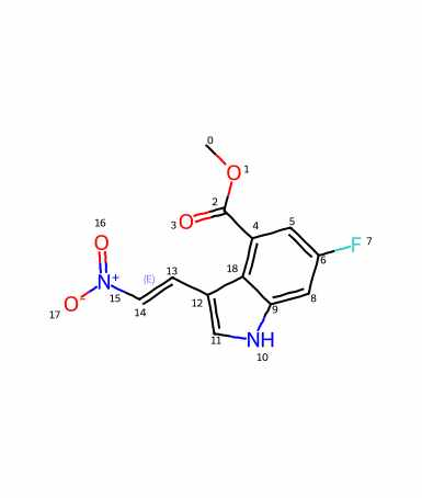 COC(=O)c1cc(F)cc2[nH]cc(/C=C/[N+](=O)[O-])c12